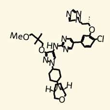 COCC(C)(C)COc1nn(C2CCC(N3[C@@H]4CC[C@H]3COC4)CC2)cc1Nc1ncc(-c2ccc(Cl)c(O[C@@H](C)Cn3cncn3)c2)cn1